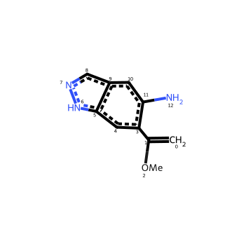 C=C(OC)c1cc2[nH]ncc2cc1N